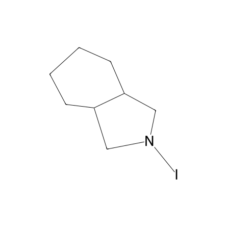 IN1CC2CCCCC2C1